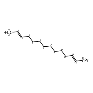 [CH2]C=CCCCCCCCCC=CCCC